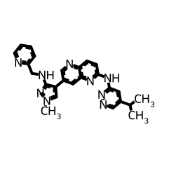 CC(C)c1cnnc(Nc2ccc3ncc(-c4cn(C)nc4NCc4ccccn4)cc3n2)c1